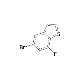 Fc1cc(Br)cc2ccsc12